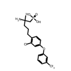 CC(N)(CCCc1ccc(Oc2cccc(C(F)(F)F)c2)cc1Cl)CP(=O)(O)O